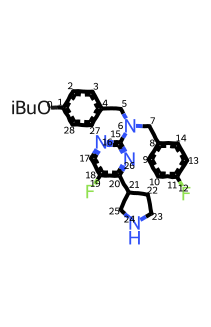 CC(C)COc1ccc(CN(Cc2ccc(F)cc2)c2ncc(F)c(C3CCNC3)n2)cc1